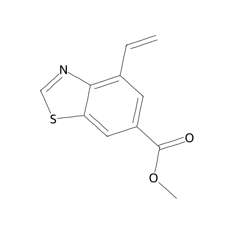 C=Cc1cc(C(=O)OC)cc2scnc12